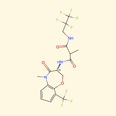 CC(C(=O)NCC(F)(F)C(F)(F)F)C(=O)N[C@H]1COc2c(cccc2C(F)(F)F)N(C)C1=O